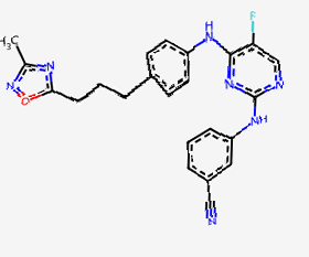 Cc1noc(CCCc2ccc(Nc3nc(Nc4cccc(C#N)c4)ncc3F)cc2)n1